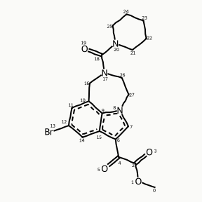 COC(=O)C(=O)c1cn2c3c(cc(Br)cc13)CN(C(=O)N1CCCCC1)CC2